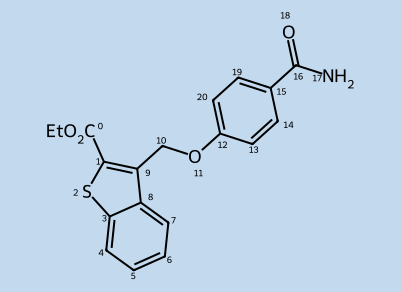 CCOC(=O)c1sc2ccccc2c1COc1ccc(C(N)=O)cc1